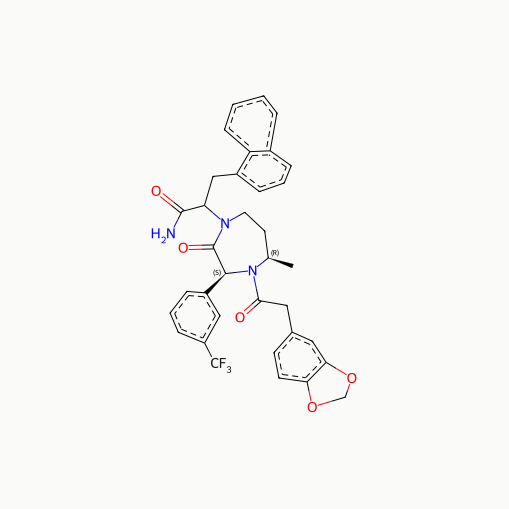 C[C@@H]1CCN(C(Cc2cccc3ccccc23)C(N)=O)C(=O)[C@H](c2cccc(C(F)(F)F)c2)N1C(=O)Cc1ccc2c(c1)OCO2